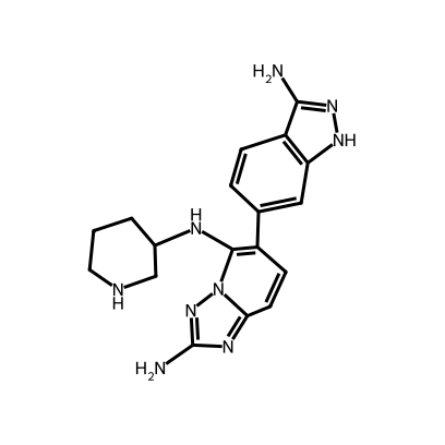 Nc1nc2ccc(-c3ccc4c(N)n[nH]c4c3)c(NC3CCCNC3)n2n1